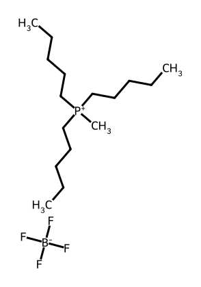 CCCCC[P+](C)(CCCCC)CCCCC.F[B-](F)(F)F